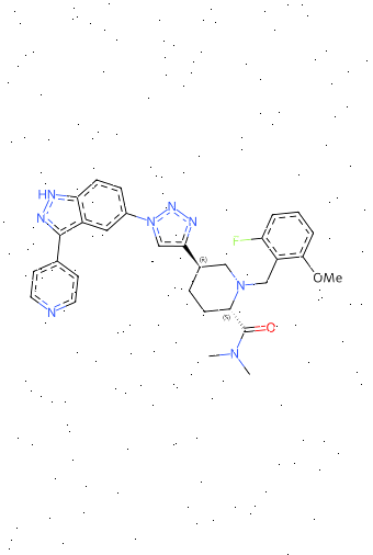 COc1cccc(F)c1CN1C[C@H](c2cn(-c3ccc4[nH]nc(-c5ccncc5)c4c3)nn2)CC[C@H]1C(=O)N(C)C